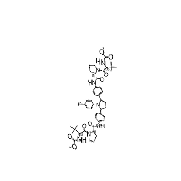 COC(=O)N[C@H](C(=O)N1CCC[C@H]1C(=O)Nc1ccc(C2CCC(c3ccc(NC(=O)[C@@H]4CCCN4C(=O)[C@@H](NC(=O)OC)C(C)(C)C)cc3)N2c2ccc(F)cc2)cc1)C(C)(C)C